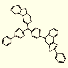 C1=CC2Sc3ccccc3C2C=C1N(c1ccc(-c2ccccc2)cc1)c1ccc(-c2cc3oc(-c4ccccc4)nc3c3ccccc23)cc1